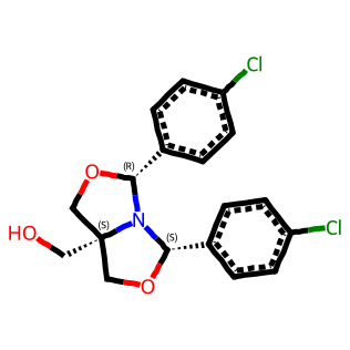 OC[C@]12CO[C@H](c3ccc(Cl)cc3)N1[C@H](c1ccc(Cl)cc1)OC2